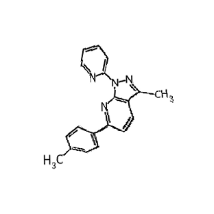 Cc1ccc(-c2ccc3c(C)nn(-c4ccccn4)c3n2)cc1